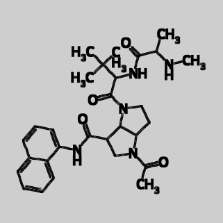 CNC(C)C(=O)NC(C(=O)N1CCC2C1C(C(=O)Nc1cccc3ccccc13)CN2C(C)=O)C(C)(C)C